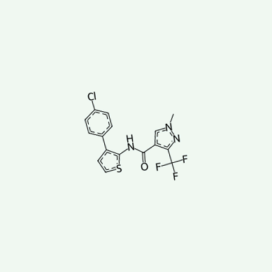 Cn1cc(C(=O)Nc2sccc2-c2ccc(Cl)cc2)c(C(F)(F)F)n1